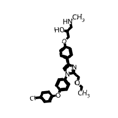 CCOCc1nc(-c2ccc(OCC(O)CNC)cc2)cn1-c1ccc(Oc2ccc(Cl)cc2)cc1